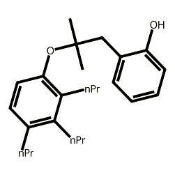 CCCc1ccc(OC(C)(C)Cc2ccccc2O)c(CCC)c1CCC